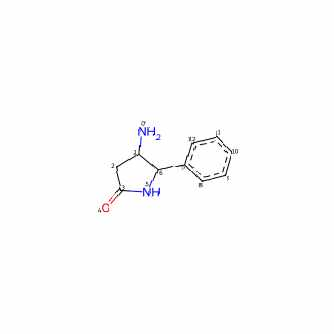 NC1CC(=O)NC1c1ccccc1